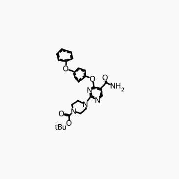 CC(C)(C)OC(=O)N1CCN(c2ncc(C(N)=O)c(Oc3ccc(Oc4ccccc4)cc3)n2)CC1